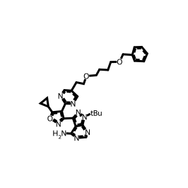 CC(C)(C)n1nc(-c2noc(C3CC3)c2-c2ncc(CCOCCCCOCc3ccccc3)cn2)c2c(N)ncnc21